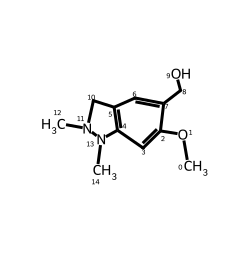 COc1cc2c(cc1CO)CN(C)N2C